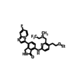 CCOCCc1ccc(Nc2ccc(-c3cnc4cc(F)ccn34)c3c2C(=O)NC3)nc1CN(C)CC(F)(F)F